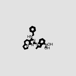 Cc1cc2c(B(O)O)cccc2n1-c1nc(NCc2ccccc2)c2c(n1)N1CCCC1CC2